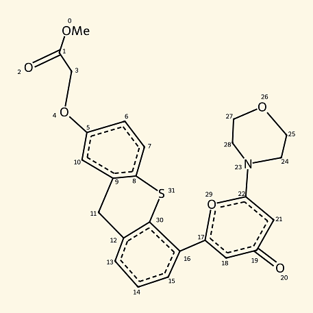 COC(=O)COc1ccc2c(c1)Cc1cccc(-c3cc(=O)cc(N4CCOCC4)o3)c1S2